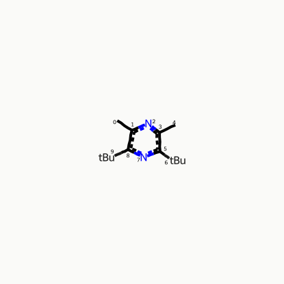 Cc1nc(C)c(C(C)(C)C)nc1C(C)(C)C